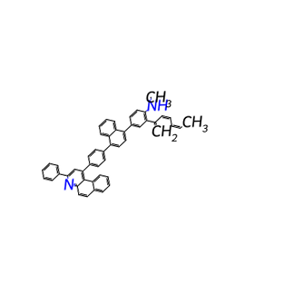 C=C(/C=C\C=C/C)c1cc(-c2ccc(-c3ccc(-c4cc(-c5ccccc5)nc5ccc6ccccc6c45)cc3)c3ccccc23)ccc1NC